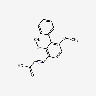 COc1ccc(/C=C/C(=O)O)c(OC)c1-c1ccccc1